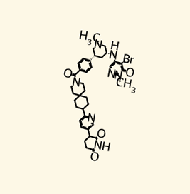 CN1C[C@H](Nc2cnn(C)c(=O)c2Br)C[C@H](c2ccc(C(=O)N3CCC4(CCC(c5ccc(C6CCC(=O)NC6=O)cn5)CC4)CC3)cc2)C1